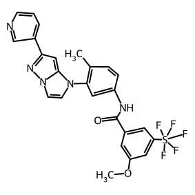 COc1cc(C(=O)Nc2ccc(C)c(-n3ccn4nc(-c5cccnc5)cc34)c2)cc(S(F)(F)(F)(F)F)c1